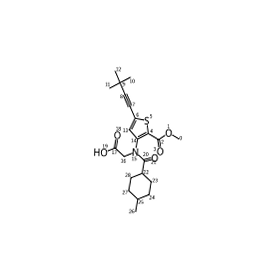 COC(=O)c1sc(C#CC(C)(C)C)cc1N(CC(=O)O)C(=O)C1CCC(C)CC1